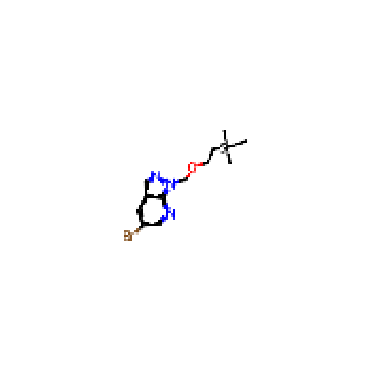 C[Si](C)(C)CCOCn1ncc2cc(Br)cnc21